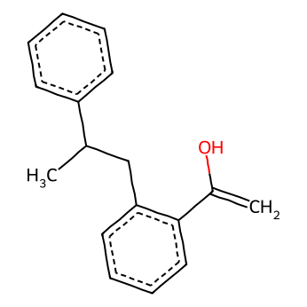 C=C(O)c1ccccc1CC(C)c1ccccc1